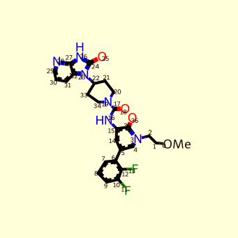 COCCn1cc(-c2cccc(F)c2F)cc(NC(=O)N2CCC(n3c(=O)[nH]c4ncccc43)CC2)c1=O